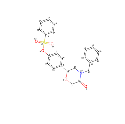 O=C1CO[C@H](c2ccc(OS(=O)(=O)c3ccccc3)cc2)CN1Cc1ccccc1